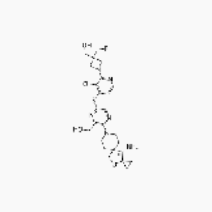 N[C@H]1C2(CCN(c3ncc(Sc4ccnc(N5CC(CO)(CF)C5)c4Cl)nc3CO)CC2)COC12CC2